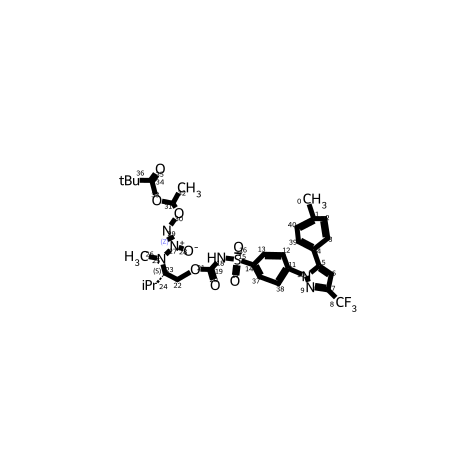 Cc1ccc(-c2cc(C(F)(F)F)nn2-c2ccc(S(=O)(=O)NC(=O)OC[C@H](C(C)C)N(C)/[N+]([O-])=N/OC(C)OC(=O)C(C)(C)C)cc2)cc1